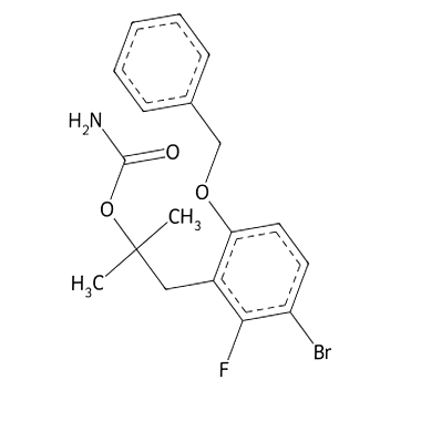 CC(C)(Cc1c(OCc2ccccc2)ccc(Br)c1F)OC(N)=O